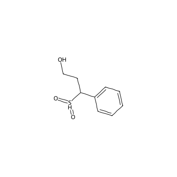 O=[SH](=O)C(CCO)c1ccccc1